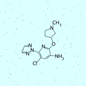 CN1CCC(Oc2nc(-n3nccn3)c(Cl)cc2N)C1